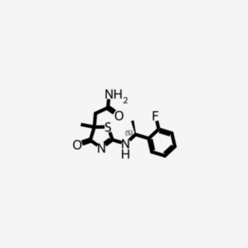 C[C@H](NC1=NC(=O)C(C)(CC(N)=O)S1)c1ccccc1F